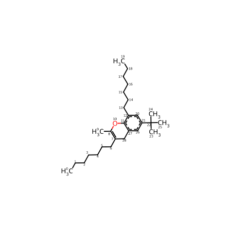 CCCCCCCC1=C(C)Oc2c(CCCCCCC)cc(C(C)(C)C)cc2C1